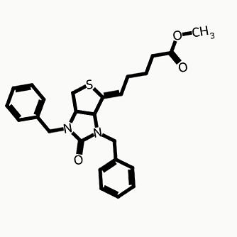 COC(=O)CCC/C=C1\SCC2C1N(Cc1ccccc1)C(=O)N2Cc1ccccc1